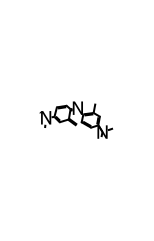 C=C1C=C(N(C)C)C=C/C1=N/c1ccc(N(C)C)cc1C